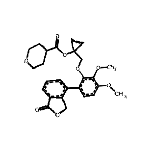 COc1ccc(-c2cccc3c2COC3=O)c(OCC2(OC(=O)C3CCOCC3)CC2)c1OC